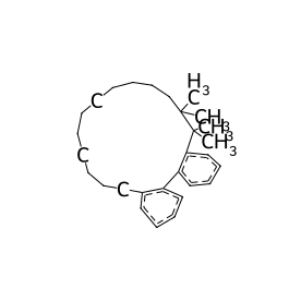 CC1(C)CCCCCCCCCCCc2ccccc2-c2ccccc2C1(C)C